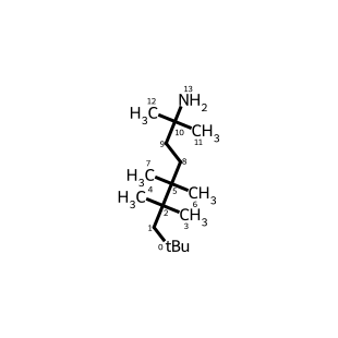 CC(C)(C)CC(C)(C)C(C)(C)CCC(C)(C)N